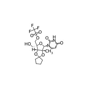 C[C@@]12OC3(CCCC3)O[C@@H]1[C@@](CO)(COS(=O)(=O)C(F)(F)F)O[C@H]2n1ccc(=O)[nH]c1=O